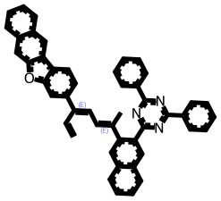 C=C/C(=C\C=C(/C)c1cc2ccccc2cc1-c1nc(-c2ccccc2)nc(-c2ccccc2)n1)c1ccc2c(c1)oc1cc3ccccc3cc12